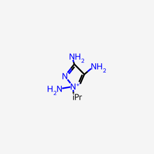 CC(C)[N+]1(N)C=C(N)C(N)=N1